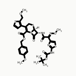 COCc1sccc1C1=C(C(=O)OCc2ccc(OC)cc2)N2C(=O)[C@@H](NC(=O)C(=NOC)c3csc(NC(=O)OC(C)(C)C)n3)[C@@H]2SC1